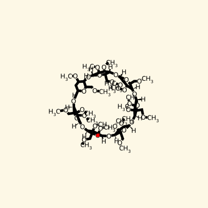 COCC1O[C@@H]2CC(OC)[C@@H]1O[C@H]1OC(COC)[C@@H](O[C@@H]3OC(COC)[C@@H](O[C@@H]4OC(COC)[C@@H](O[C@H]5OC(COC)[C@@H](O[C@@H]6OC(COC)[C@@H](O[C@H]7OC(COC)[C@@H](O2)C(OC)C7OC)C(OC)C6OC)C(OC)C5OC)C(OC)C4OC)C(OC)C3OC)C(OC)C1OC